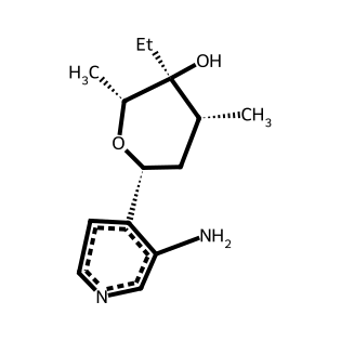 CC[C@]1(O)[C@H](C)C[C@H](c2ccncc2N)O[C@@H]1C